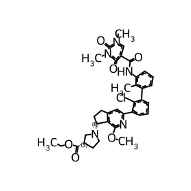 CCOC(=O)[C@H]1CCN([C@@H]2CCc3cc(-c4cccc(-c5cccc(NC(=O)c6cn(C)c(=O)n(C)c6=O)c5C)c4Cl)nc(OC)c32)C1